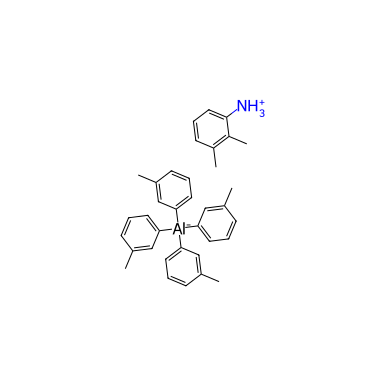 Cc1ccc[c]([Al-]([c]2cccc(C)c2)([c]2cccc(C)c2)[c]2cccc(C)c2)c1.Cc1cccc([NH3+])c1C